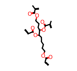 C=CC(=O)OCCCCCC(OC(=O)C=C)C(CCCOC(=O)C(=C)C)OC(=O)C(=C)C